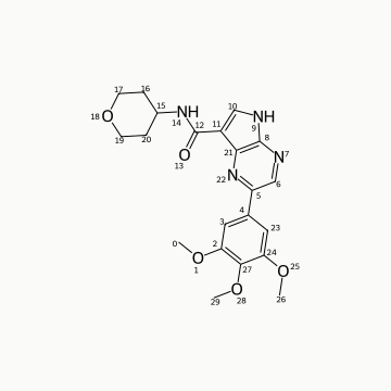 COc1cc(-c2cnc3[nH]cc(C(=O)NC4CCOCC4)c3n2)cc(OC)c1OC